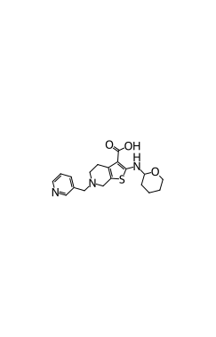 O=C(O)c1c(NC2CCCCO2)sc2c1CCN(Cc1cccnc1)C2